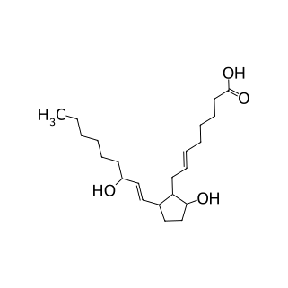 CCCCCCC(O)/C=C/C1CCC(O)C1C/C=C/CCCCC(=O)O